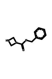 O=C(OCc1ccccc1)N1CNC1